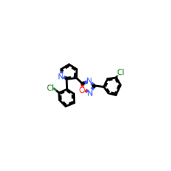 Clc1cccc(-c2noc(-c3cccnc3-c3ccccc3Cl)n2)c1